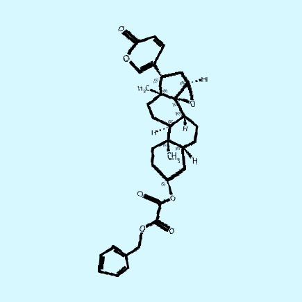 C[C@]12CC[C@H](OC(=O)C(=O)OCc3ccccc3)C[C@H]1CC[C@@H]1[C@@H]2CC[C@]2(C)[C@@H](c3ccc(=O)oc3)C[C@H]3O[C@]132